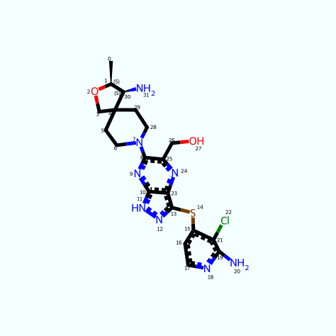 C[C@@H]1OCC2(CCN(c3nc4[nH]nc(Sc5ccnc(N)c5Cl)c4nc3CO)CC2)[C@@H]1N